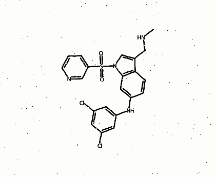 CNCc1cn(S(=O)(=O)c2cccnc2)c2cc(Nc3cc(Cl)cc(Cl)c3)ccc12